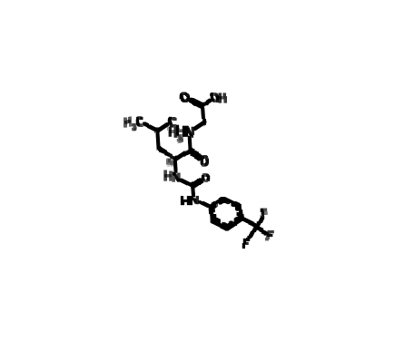 CC(C)C[C@H](NC(=O)Nc1ccc(C(F)(F)F)cc1)C(=O)NCC(=O)O